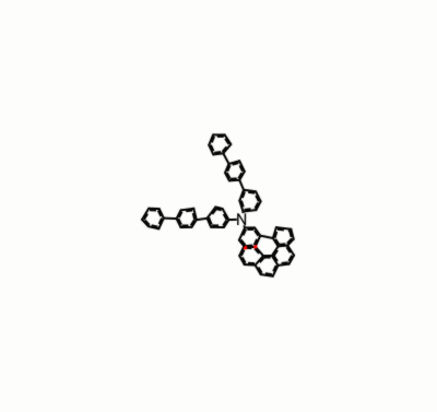 c1ccc(-c2ccc(-c3ccc(N(c4cccc(-c5ccc(-c6ccccc6)cc5)c4)c4cccc(-c5cccc6ccc7ccc8ccccc8c7c56)c4)cc3)cc2)cc1